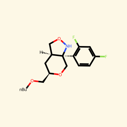 CCCCOC[C@H]1C[C@H]2CON[C@@]2(c2ccc(F)cc2F)CO1